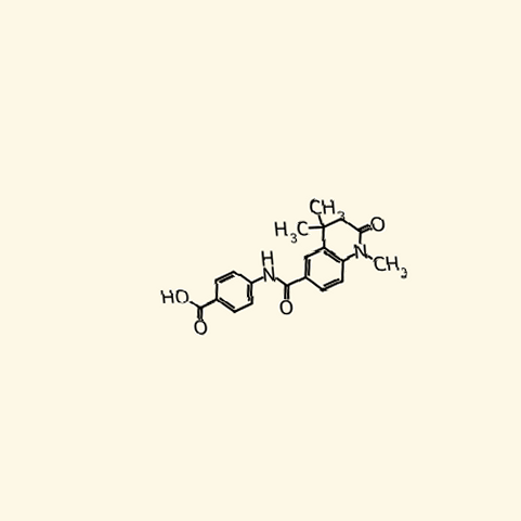 CN1C(=O)CC(C)(C)c2cc(C(=O)Nc3ccc(C(=O)O)cc3)ccc21